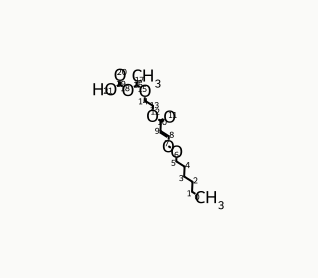 CCCCCCOOC=CC(=O)OCCOC(C)OC(=O)O